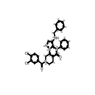 O=C(c1ccc(Cl)c(Cl)c1)N1CCc2c(n3ncc(NCc4ccccc4)c3n(-c3ccccc3)c2=O)C1